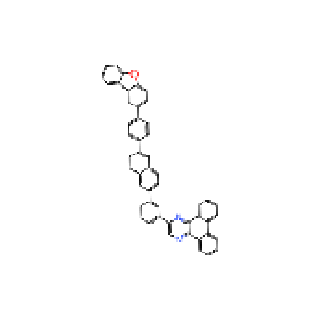 c1cc(-c2ccc3cc(-c4ccc(-c5ccc6oc7ccccc7c6c5)cc4)ccc3c2)cc(-c2cnc3c4ccccc4c4ccccc4c3n2)c1